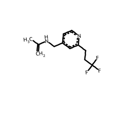 C=C(C)NCc1ccnc(CCC(F)(F)F)c1